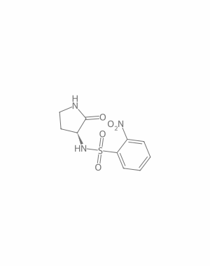 O=C1NCC[C@@H]1NS(=O)(=O)c1ccccc1[N+](=O)[O-]